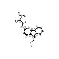 CCCn1c2ccccc2c2cc(C=CC(=O)N(C)C)ccc21